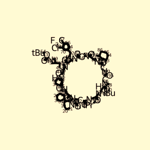 CC[C@H](C)[C@@H]1NC(=O)[C@H](CC(C)C)N(C)C(=O)C[C@@H](C(=O)N2CCCCC2)N(C)C(=O)[C@H](C2CCCCC2)N(C)C(=O)C2(CCCC2)NC(=O)[C@H](CCC2CN(C(=O)OC(C)(C)C)C2)N(C)C(=O)[C@H](CCc2ccc(C(F)(F)F)c(Cl)c2)NC(=O)CN(C)C(=O)[C@H](CC2CCCCC2)N(C)C(=O)CN(C)C(=O)CN(C)C1=O